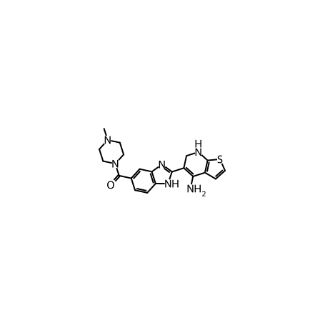 CN1CCN(C(=O)c2ccc3[nH]c(C4=C(N)c5ccsc5NC4)nc3c2)CC1